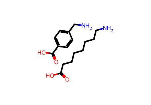 NCCCCCCCC(=O)O.NCc1ccc(C(=O)O)cc1